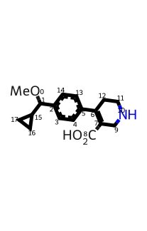 COC(c1ccc(C2=C(C(=O)O)CNCC2)cc1)C1CC1